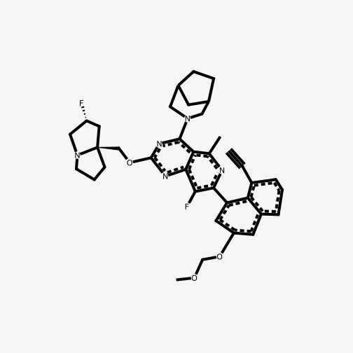 C#Cc1cccc2cc(OCOC)cc(-c3nc(C)c4c(N5CC6CCC(C6)C5)nc(OC[C@@]56CCCN5C[C@H](F)C6)nc4c3F)c12